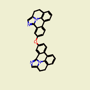 c1cc2c3c(c1)c1ccc(Oc4ccc5c(c4)c4ncc6n4c4c(cccc54)CC6)cc1c1ncc(n13)CC2